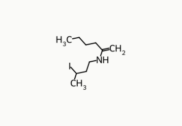 C=C(CCCC)NCCC(C)I